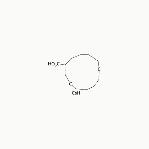 O=C(O)C1CCCCCCCCCCC1.[CsH]